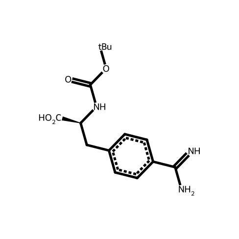 CC(C)(C)OC(=O)N[C@@H](Cc1ccc(C(=N)N)cc1)C(=O)O